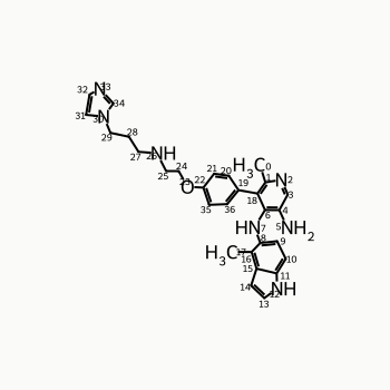 Cc1ncc(N)c(Nc2ccc3[nH]ccc3c2C)c1-c1ccc(OCCNCCCn2ccnc2)cc1